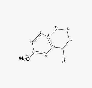 COc1ccc2c(c1)[C](C)CCC2